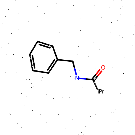 CC(C)C(=O)[N]Cc1ccccc1